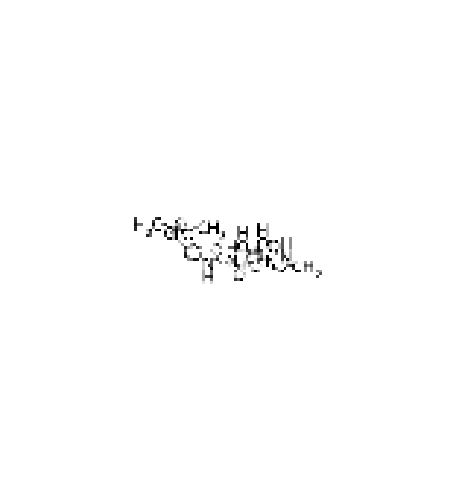 C=C1C=CN([C@@H]2O[C@H](C(=O)NCC(=O)Nc3ccc(CP(=O)(OCC)OCC)cc3)[C@@H](O)[C@H]2O)C(=O)N1